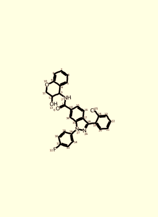 O=C(NC1c2ccccc2OCC1O)c1ccc2c(-c3ccccc3Cl)nn(-c3ccc(F)cc3)c2c1